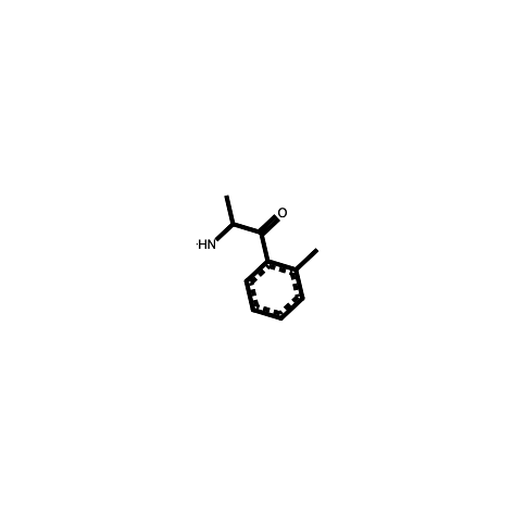 Cc1ccccc1C(=O)C(C)[NH]